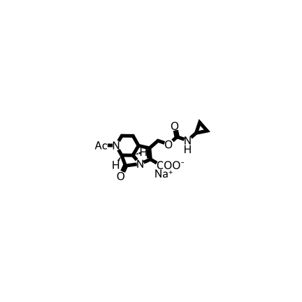 CC(=O)N1CCC2C(COC(=O)NC3CC3)=C(C(=O)[O-])N3C(=O)[C@@H]1[C@@H]23.[Na+]